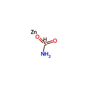 N[SH](=O)=O.[Zn]